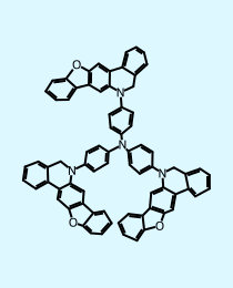 c1ccc2c(c1)CN(c1ccc(N(c3ccc(N4Cc5ccccc5-c5cc6oc7ccccc7c6cc54)cc3)c3ccc(N4Cc5ccccc5-c5cc6oc7ccccc7c6cc54)cc3)cc1)c1cc3c(cc1-2)oc1ccccc13